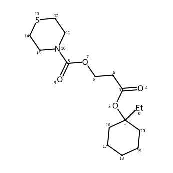 CCC1(OC(=O)CCOC(=O)N2CCSCC2)CCCCC1